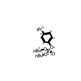 CCCCOP(=O)(OCCCC)Oc1ccc(C(C)C)cc1